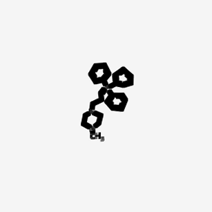 CN1CCN(CCC=P(c2ccccc2)(c2ccccc2)c2ccccc2)CC1